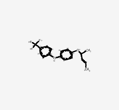 CC=CC(C)Oc1ccc(Oc2ccc(C(F)(F)F)cc2)cc1